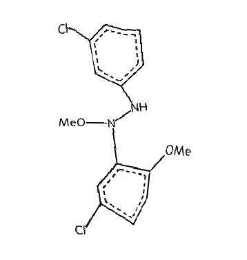 COc1ccc(Cl)cc1N(Nc1cccc(Cl)c1)OC